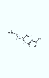 CS/N=C/c1ccc(C(F)F)nc1